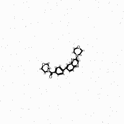 O=C(c1ccc(-c2ccc3ncc(N4CCOCC4)nc3c2)cc1)N1CCOCC1